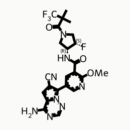 COc1ncc(-c2c(C#N)cc3c(N)ncnn23)cc1C(=O)N[C@@H]1CN(C(=O)C(C)(C)C(F)(F)F)C[C@@H]1F